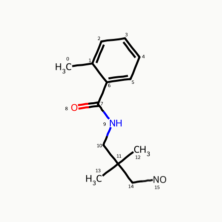 Cc1ccccc1C(=O)NCC(C)(C)CN=O